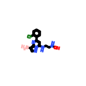 Bc1cnn2c(NCCNO)cc(-c3ccccc3Cl)nc12